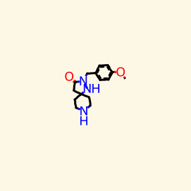 COc1ccc(CN2NC3(CCNCC3)CC2=O)cc1